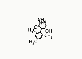 Cc1cc(C)c(-c2c(O)cnn(C)c2=O)c(C)c1